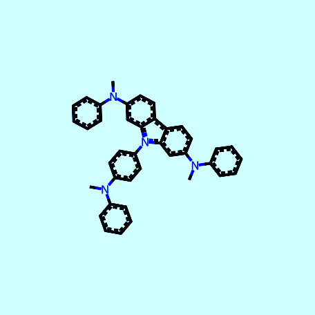 CN(c1ccccc1)c1ccc(-n2c3cc(N(C)c4ccccc4)ccc3c3ccc(N(C)c4ccccc4)cc32)cc1